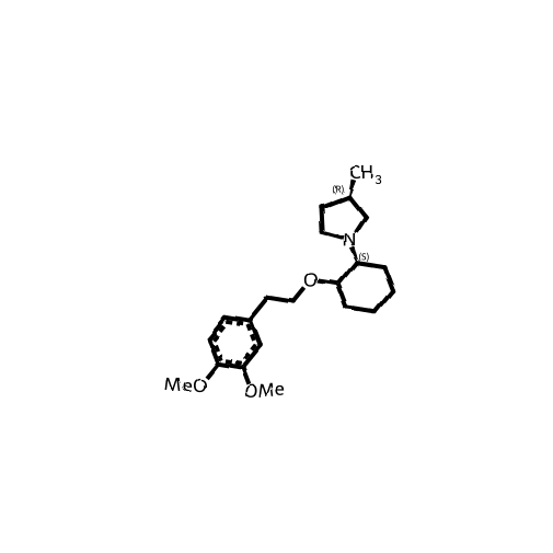 COc1ccc(CCOC2CCCC[C@@H]2N2CC[C@@H](C)C2)cc1OC